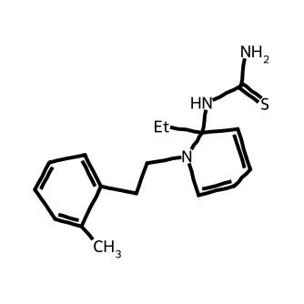 CCC1(NC(N)=S)C=CC=CN1CCc1ccccc1C